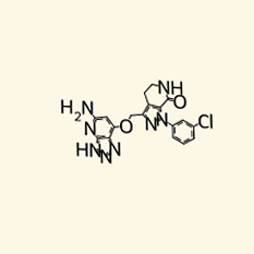 Nc1cc(OCc2nn(-c3cccc(Cl)c3)c3c2CCNC3=O)c2nn[nH]c2n1